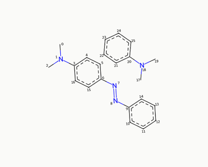 CN(C)c1ccc(N=Nc2ccccc2)cc1.CN(C)c1ccccc1